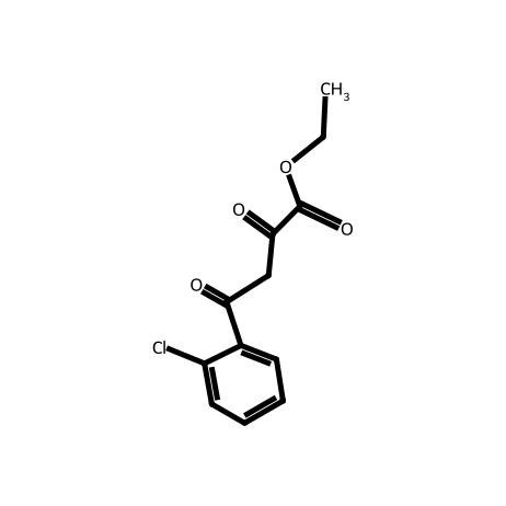 CCOC(=O)C(=O)CC(=O)c1ccccc1Cl